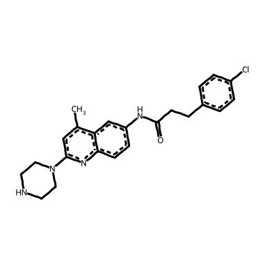 Cc1cc(N2CCNCC2)nc2ccc(NC(=O)CCc3ccc(Cl)cc3)cc12